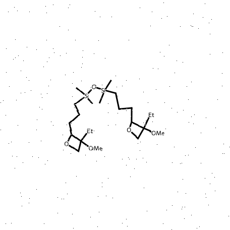 CCC1(OC)COC1CCC[Si](C)(C)O[Si](C)(C)CCCC1OCC1(CC)OC